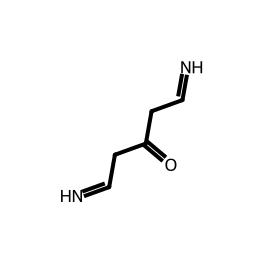 N=CCC(=O)CC=N